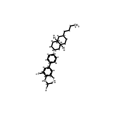 CCCCC1CC[C@@H]2C[C@H](c3ccc(-c4cc(F)c(OC(F)F)c(F)c4)cc3)CC[C@@H]2C1